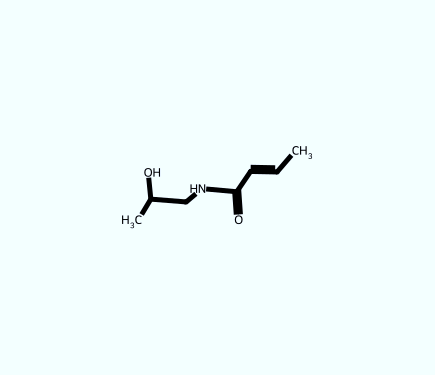 C/C=C/C(=O)NCC(C)O